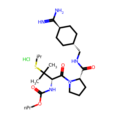 CCCOC(=O)N[C@@H](C(=O)N1CCC[C@H]1C(=O)NC[C@H]1CC[C@H](C(=N)N)CC1)C(C)(C)SC(C)C.Cl